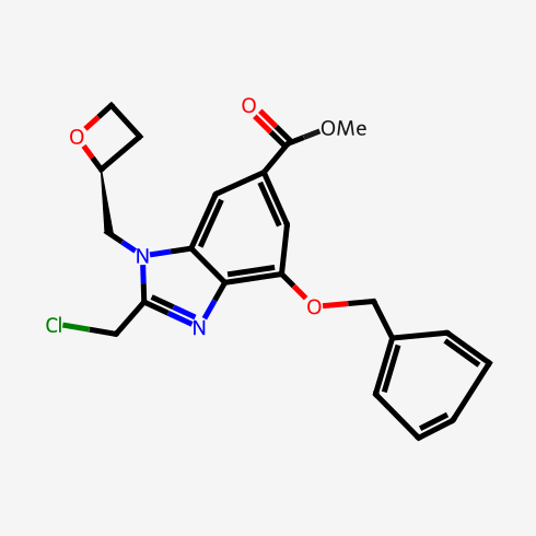 COC(=O)c1cc(OCc2ccccc2)c2nc(CCl)n(C[C@@H]3CCO3)c2c1